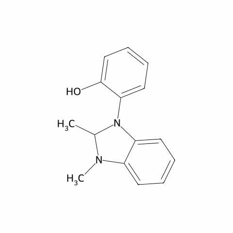 CC1N(C)c2ccccc2N1c1ccccc1O